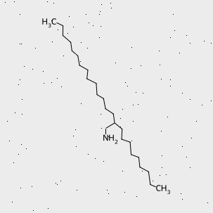 CCCCCCCCCCCCCCC(CN)CCCCCCCCC